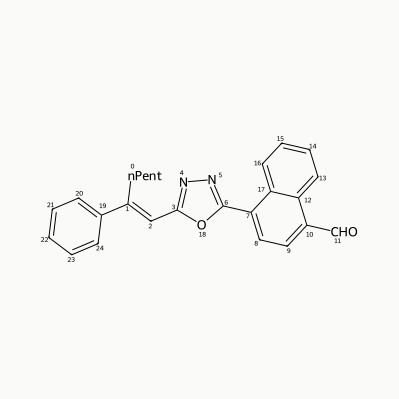 CCCCC/C(=C\c1nnc(-c2ccc(C=O)c3ccccc23)o1)c1ccccc1